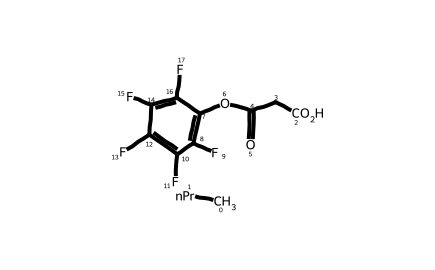 CCCC.O=C(O)CC(=O)Oc1c(F)c(F)c(F)c(F)c1F